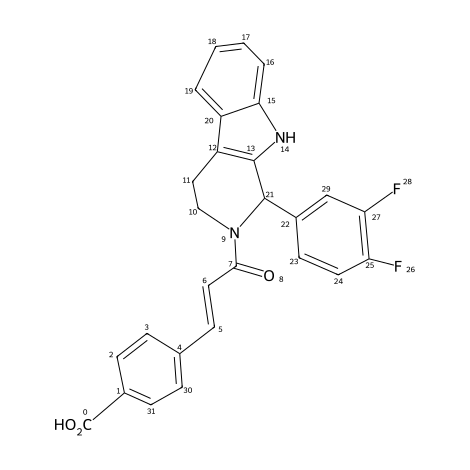 O=C(O)c1ccc(C=CC(=O)N2CCc3c([nH]c4ccccc34)C2c2ccc(F)c(F)c2)cc1